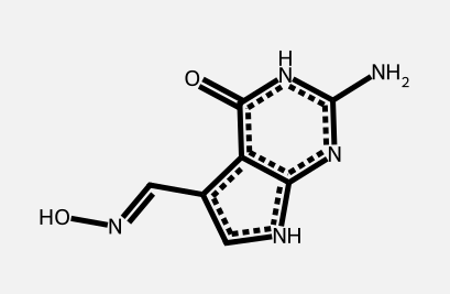 Nc1nc2[nH]cc(C=NO)c2c(=O)[nH]1